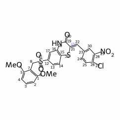 COc1cccc(OC)c1CS(=O)(=O)c1ccc2c(c1)NC(=O)/C(=C/c1ccc(Cl)c([N+](=O)[O-])c1)S2